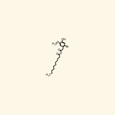 CCCCCCCCCCC(=O)OC(=O)Cc1cc(OC)c(O)cc1Br